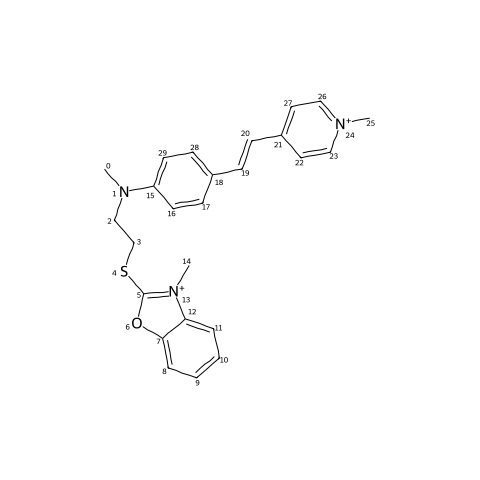 CN(CCSc1oc2ccccc2[n+]1C)c1ccc(/C=C/c2cc[n+](C)cc2)cc1